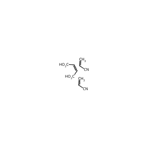 C=CC#N.C=CC#N.O=C(O)/C=C\C(=O)O